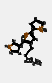 CCOC(=O)CCc1cc(-c2cccs2)sc1-c1ccsc1